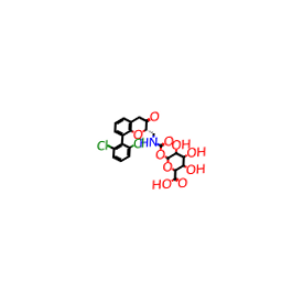 O=C(NC[C@@H]1Oc2c(cccc2-c2c(Cl)cccc2Cl)CC1=O)OC1OC(C(=O)O)C(O)C(O)C1O